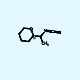 CC(N=C=S)[C@H]1CCCCO1